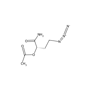 CC(=O)O[C@@H](CCN=[N+]=[N-])C(N)=O